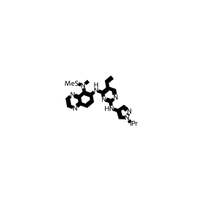 C=Cc1cnc(Nc2cnn(C(C)C)c2)nc1Nc1ccc2nccnc2c1N(C)SC